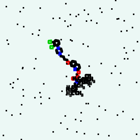 CC(C)(C)CC(C)(C)CN(CC(C)(C)CC(C)(C)C)C(=O)OCOC1=Nc2cc(OCCCCN3CCN(c4cccc(Cl)c4Cl)CC3)ccc2CC1